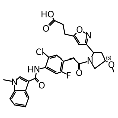 CO[C@H]1CC(c2cc(CCC(=O)O)on2)N(C(=O)Cc2cc(Cl)c(NC(=O)c3cn(C)c4ccccc34)cc2F)C1